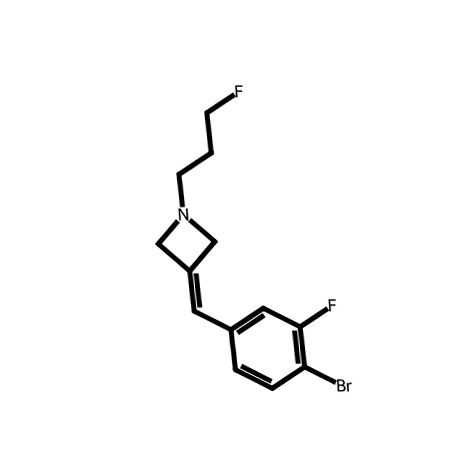 FCCCN1CC(=Cc2ccc(Br)c(F)c2)C1